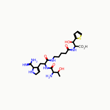 CC(O)C(N)C(=O)NC(CC1=CCNC1C(=N)N)C(=O)NCCCCC(=O)NC(C(=O)O)C(O)c1cccs1